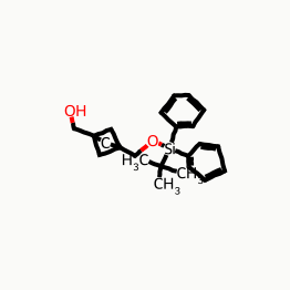 CC(C)(C)[Si](OCC12CC(CO)(C1)C2)(c1ccccc1)c1ccccc1